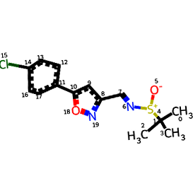 CC(C)(C)[S+]([O-])N=Cc1cc(-c2ccc(Cl)cc2)on1